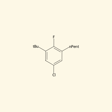 CCCCCc1cc(Cl)cc(C(C)(C)C)c1F